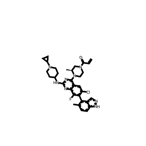 C=CC(=O)N1CCN(c2nc(NC3CCN(C4CC4)CC3)nc3c(F)c(-c4c(C)ccc5[nH]ncc45)c(Cl)cc23)[C@@H](C)C1